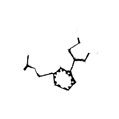 CCCC(CC)c1cccc(CCC(=O)O)c1